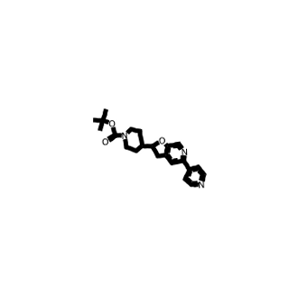 CC(C)(C)OC(=O)N1CCC(C2Cc3cc(-c4ccncc4)ncc3O2)CC1